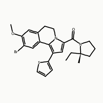 CC[C@@]1(C)CCCN1C(=O)c1cc(-c2cccs2)c2n1CCc1cc(OC)c(Br)cc1-2